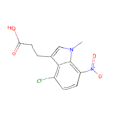 Cn1cc(CCC(=O)O)c2c(Cl)ccc([N+](=O)[O-])c21